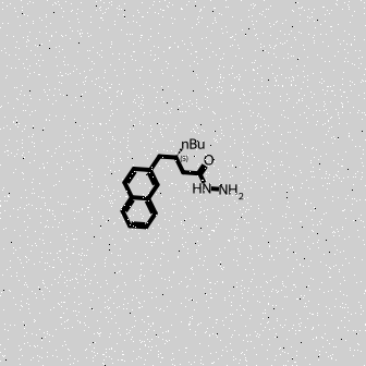 CCCC[C@H](CC(=O)NN)Cc1ccc2ccccc2c1